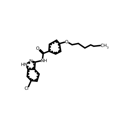 CCCCCCOc1ccc(C(=O)Nc2n[nH]c3cc(Cl)ccc23)cc1